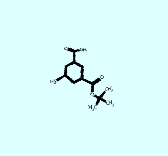 CC(C)(C)OC(=O)C1CC(S)CC(C(=O)O)C1